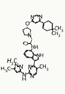 Cc1cnc(Nc2cc(C)n(C)n2)nc1-c1c[nH]c2c(NC(=O)CN3CC[C@H](Oc4cc(C5=CCC(C)(C)CC5)ncn4)C3)cccc12